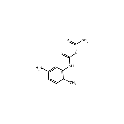 Cc1ccc(N)cc1NC(=O)NC(N)=S